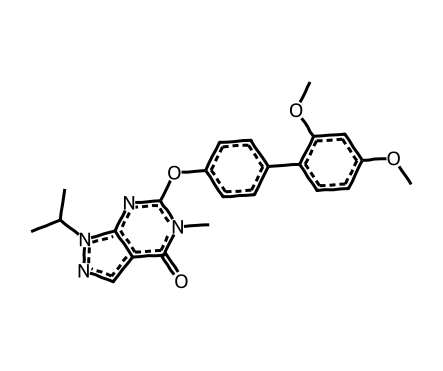 COc1ccc(-c2ccc(Oc3nc4c(cnn4C(C)C)c(=O)n3C)cc2)c(OC)c1